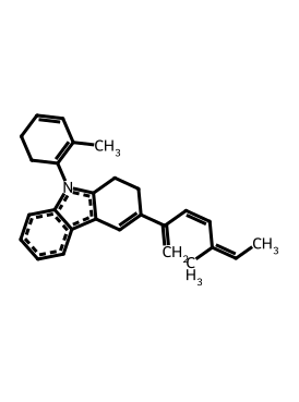 C=C(/C=C\C(C)=C/C)C1=Cc2c(n(C3=C(C)C=CCC3)c3ccccc23)CC1